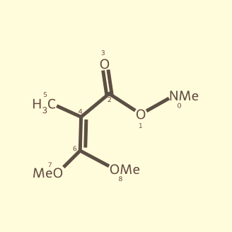 CNOC(=O)C(C)=C(OC)OC